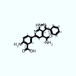 NC(=O)c1cc(-c2ccc(N)c(C(=O)O)c2)nc2[nH]nc(-c3ccccc3)c12